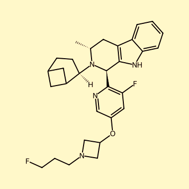 C[C@@H]1Cc2c([nH]c3ccccc23)[C@@H](c2ncc(OC3CN(CCCF)C3)cc2F)N1[C@@H]1CCC2CC1C2